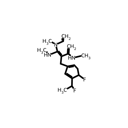 C=CN(C)/C(NC)=C(/CC1=CCC(F)C(C(C)F)=C1)C(=C)NC